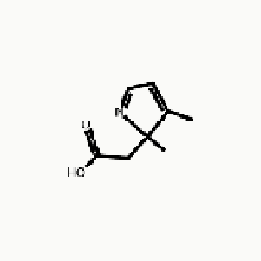 CC1=CC=NC1(C)CC(=O)O